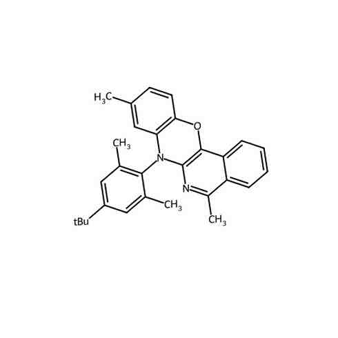 Cc1ccc2c(c1)N(c1c(C)cc(C(C)(C)C)cc1C)c1nc(C)c3ccccc3c1O2